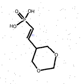 O=P(O)(O)/C=C/C1COCOC1